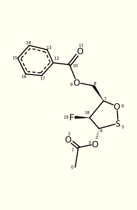 CC(=O)O[C@H]1SO[C@H](COC(=O)c2ccccc2)[C@@H]1F